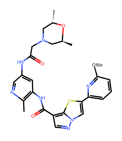 COc1cccc(-c2cn3ncc(C(=O)Nc4cc(NC(=O)CN5C[C@H](C)O[C@@H](C)C5)cnc4C)c3s2)n1